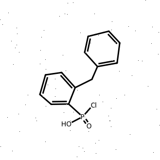 O=P(O)(Cl)c1ccccc1Cc1ccccc1